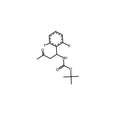 CC(=O)CC(NC(=O)OC(C)(C)C)c1c(F)cccc1F